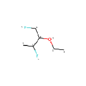 CCO[C](CF)C(C)F